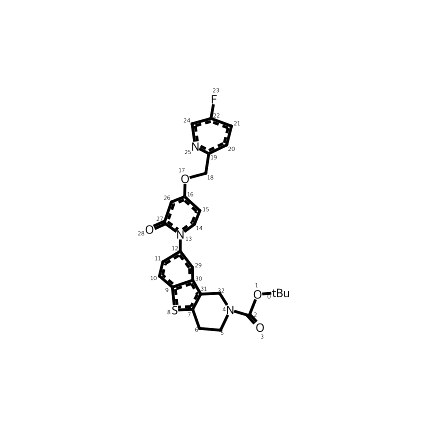 CC(C)(C)OC(=O)N1CCc2sc3ccc(-n4ccc(OCc5ccc(F)cn5)cc4=O)cc3c2C1